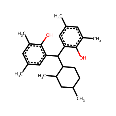 Cc1cc(C)c(O)c(C(c2cc(C)cc(C)c2O)C2CCC(C)CC2C)c1